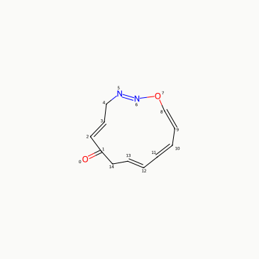 O=C1/C=C/C/N=N/O\C=C/C=C/C=C/C1